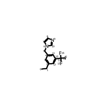 CCc1cc(Cn2ccnc2)cc(C(F)(F)F)c1